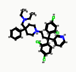 CCN(CC)CC1(c2ccccc2)CCN(CCC(c2cccnc2)(c2ccc(Cl)cc2Cl)c2ccc(Cl)cc2Cl)CC1